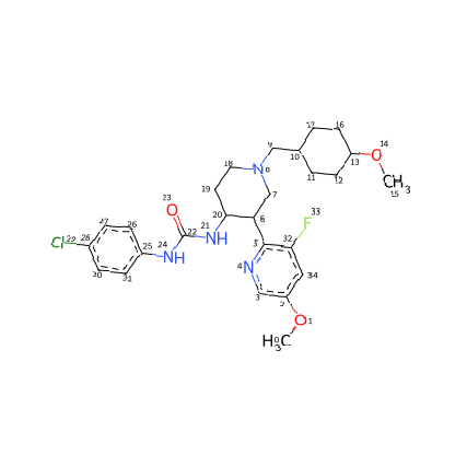 COc1cnc(C2CN(CC3CCC(OC)CC3)CCC2NC(=O)Nc2ccc(Cl)cc2)c(F)c1